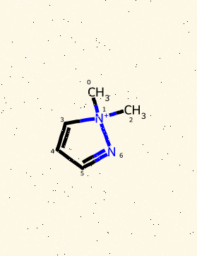 C[N+]1(C)C=CC=N1